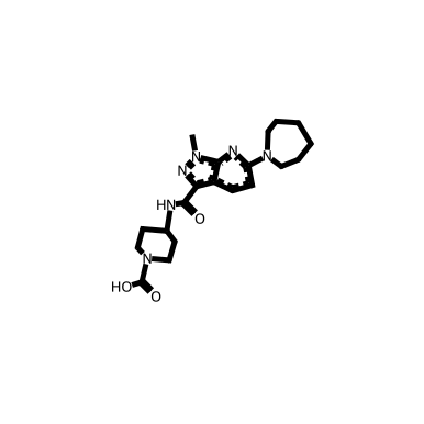 Cn1nc(C(=O)NC2CCN(C(=O)O)CC2)c2ccc(N3CCCCCC3)nc21